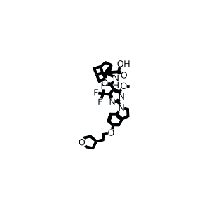 COc1nc(N2CCc3cc(OCCC4CCOCC4)ccc32)nc(C(F)(F)F)c1C(=O)NC1(C(=O)O)C2CC3CC4CC1C34C2